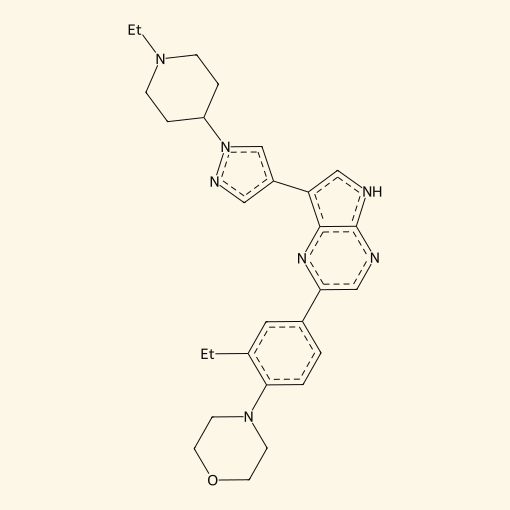 CCc1cc(-c2cnc3[nH]cc(-c4cnn(C5CCN(CC)CC5)c4)c3n2)ccc1N1CCOCC1